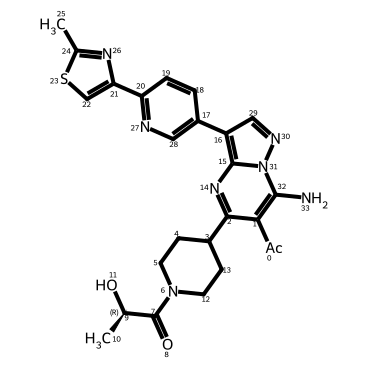 CC(=O)c1c(C2CCN(C(=O)[C@@H](C)O)CC2)nc2c(-c3ccc(-c4csc(C)n4)nc3)cnn2c1N